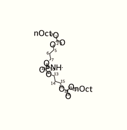 CCCCCCCCOC(=O)OCCCOP([NH])(=O)OCCCOC(=O)OCCCCCCCC